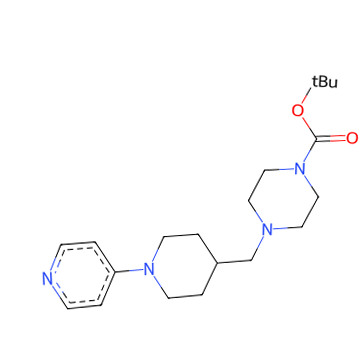 CC(C)(C)OC(=O)N1CCN(CC2CCN(c3ccncc3)CC2)CC1